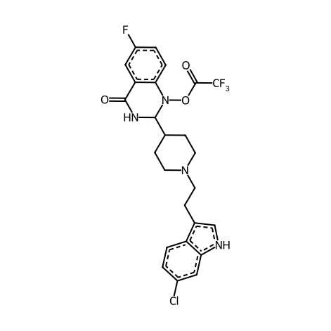 O=C1NC(C2CCN(CCc3c[nH]c4cc(Cl)ccc34)CC2)N(OC(=O)C(F)(F)F)c2ccc(F)cc21